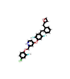 Fc1cc(Oc2ccnc(COc3ccc(Cl)cc3F)c2)c(F)cc1CC1C=CC=CC1CC1CCO1